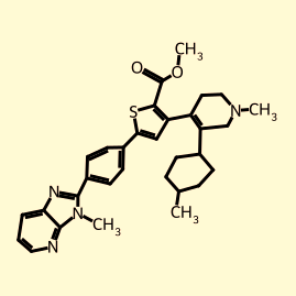 COC(=O)c1sc(-c2ccc(-c3nc4cccnc4n3C)cc2)cc1C1=C(C2CCC(C)CC2)CN(C)CC1